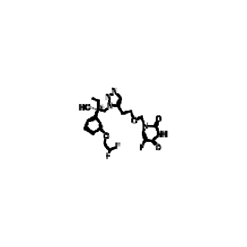 CC[C@@](O)(Cn1nncc1CCOCn1cc(F)c(=O)[nH]c1=O)c1cccc(OCC(F)F)c1